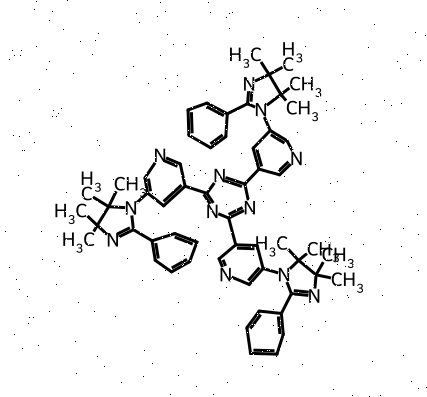 CC1(C)N=C(c2ccccc2)N(c2cncc(-c3nc(-c4cncc(N5C(c6ccccc6)=NC(C)(C)C5(C)C)c4)nc(-c4cncc(N5C(c6ccccc6)=NC(C)(C)C5(C)C)c4)n3)c2)C1(C)C